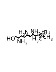 CC(C)(C)[Si](C)(C)OCC(=N)/C=C(\N)CC[C@H](N)CO